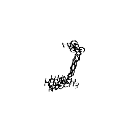 Cc1cc(O[C@H]2C(C)(C)[C@H](NC(=O)c3ccc(N4CCN(C5CCN(c6ccc7c(c6)C(=O)N(C6CCC(=O)NC6=O)C7=O)CC5)CC4)cc3)C2(C)C)ccc1C#N